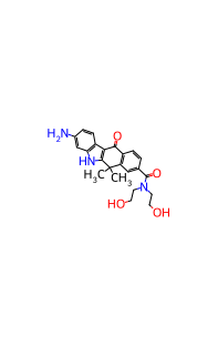 CC1(C)c2cc(C(=O)N(CCO)CCO)ccc2C(=O)c2c1[nH]c1cc(N)ccc21